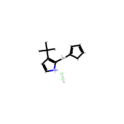 CC(C)(C)c1cc[nH][c]1[Ti+2][C]1=CC=CC1.[Cl-].[Cl-]